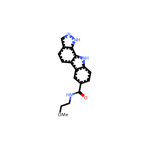 COCCNC(=O)c1ccc2[nH]c3c(ccc4cn[nH]c43)c2c1